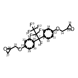 FC(F)(F)C(F)(F)C(F)(c1ccc(OCC2CO2)cc1)c1ccc(OCC2CO2)cc1